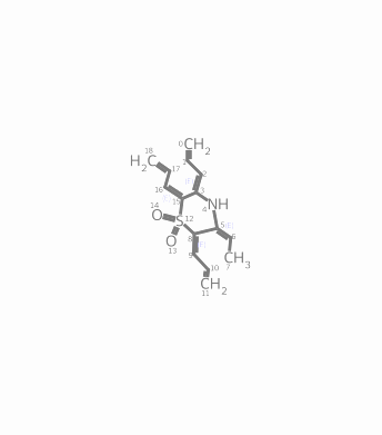 C=C/C=C1/NC(=C/C)/C(=C\C=C)S(=O)(=O)/C1=C/C=C